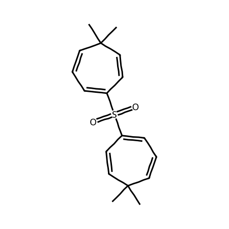 CC1(C)C=CC=C(S(=O)(=O)C2=CC=CC(C)(C)C=C2)C=C1